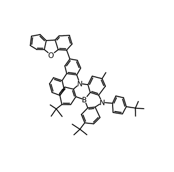 Cc1cc2c3c(c1)N(c1ccc(-c4cccc5c4oc4ccccc45)cc1-c1ccccc1)c1ccc(C(C)(C)C)cc1B3c1cc(C(C)(C)C)ccc1N2c1ccc(C(C)(C)C)cc1